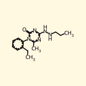 CCCNNc1nc(C)n(-c2ccccc2CC)c(=O)n1